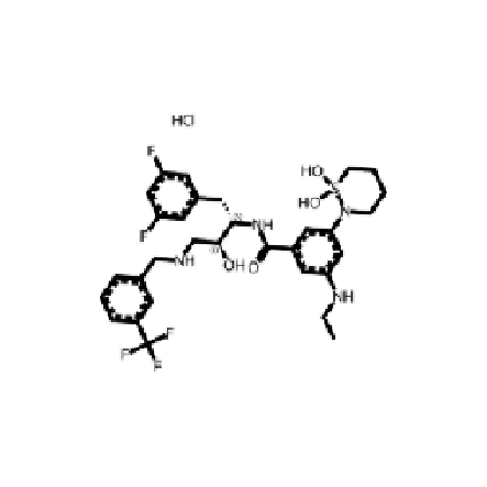 CCNc1cc(C(=O)N[C@@H](Cc2cc(F)cc(F)c2)[C@@H](O)CNCc2cccc(C(F)(F)F)c2)cc(N2CCCCS2(O)O)c1.Cl